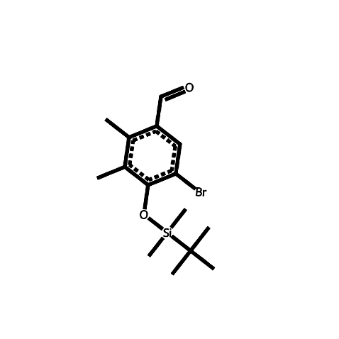 Cc1c(C=O)cc(Br)c(O[Si](C)(C)C(C)(C)C)c1C